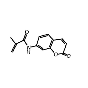 C=C(C)C(=O)Nc1ccc2ccc(=O)oc2c1